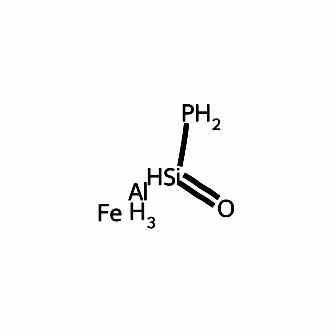 O=[SiH]P.[AlH3].[Fe]